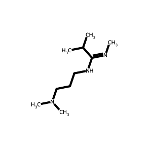 C/N=C(/NCCCN(C)C)C(C)C